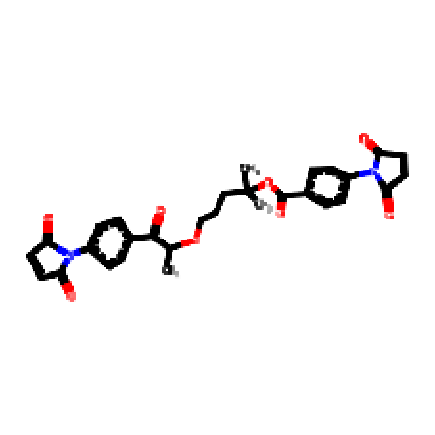 CC(OCCCC(C)(C)OC(=O)c1ccc(N2C(=O)C=CC2=O)cc1)C(=O)c1ccc(N2C(=O)C=CC2=O)cc1